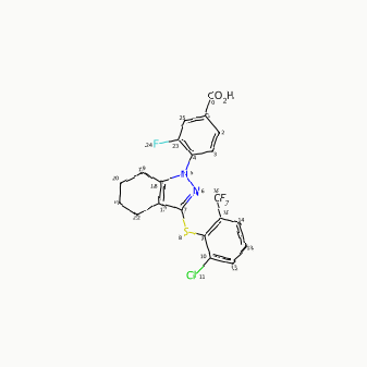 O=C(O)c1ccc(-n2nc(Sc3c(Cl)cccc3C(F)(F)F)c3c2CCCC3)c(F)c1